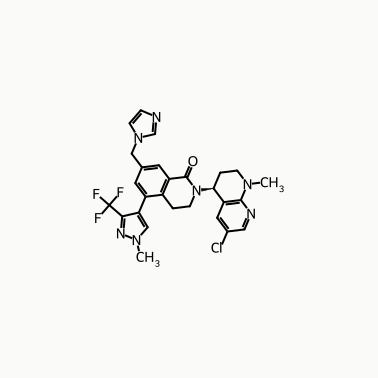 CN1CC[C@H](N2CCc3c(cc(Cn4ccnc4)cc3-c3cn(C)nc3C(F)(F)F)C2=O)c2cc(Cl)cnc21